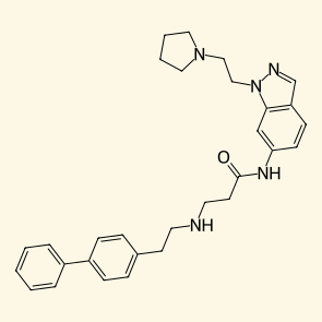 O=C(CCNCCc1ccc(-c2ccccc2)cc1)Nc1ccc2cnn(CCN3CCCC3)c2c1